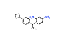 CC(c1ccc(C2CCC2)cc1)c1ccc(N)cc1N